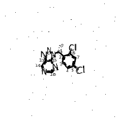 C[C@H](c1ccc(Cl)cc1Cl)n1nnc2cncnc21